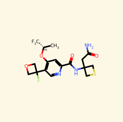 C[C@H](Oc1cc(C(=O)NC2(CC(N)=O)CSC2)ncc1C1(F)COC1)C(F)(F)F